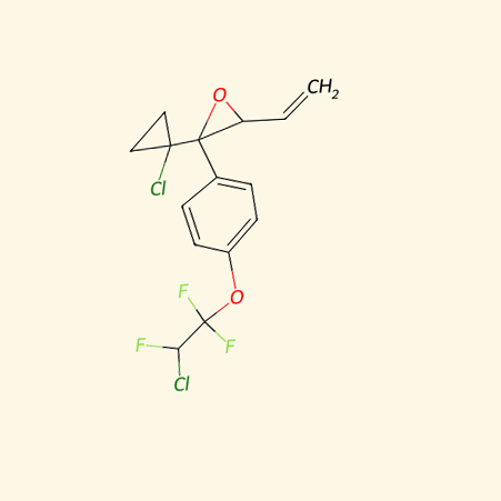 C=CC1OC1(c1ccc(OC(F)(F)C(F)Cl)cc1)C1(Cl)CC1